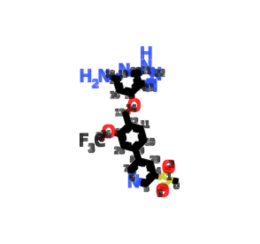 CS(=O)(=O)c1cncc(-c2ccc(COc3cc(N)nc4[nH]nnc34)c(OC(F)(F)F)c2)c1